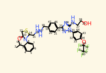 CC(C)c1ccccc1N1C(=O)CSC1CNNCc1ccc(-c2nc(NCCO)n(-c3ccc(OC(F)(F)C(F)(F)F)cc3)n2)cc1